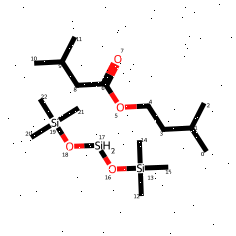 CC(C)CCOC(=O)CC(C)C.C[Si](C)(C)O[SiH2]O[Si](C)(C)C